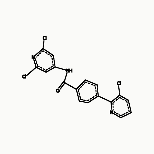 O=C(Nc1cc(Cl)nc(Cl)c1)c1ccc(-c2ncccc2Cl)cc1